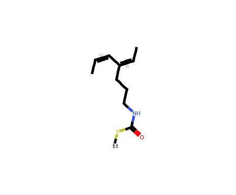 C/C=C\C(=C/C)CCCNC(=O)SCC